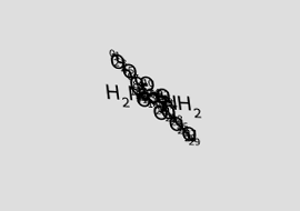 CCOCCOCCOC(=O)c1c(N)oc2cc3c(C(=O)OCCOCCOCC)c(N)oc3cc12